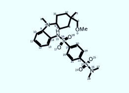 COCC1(C)CCC(N(C)c2ccccc2NS(=O)(=O)c2ccc(S(=O)(=O)N(C)C)cc2)CC1